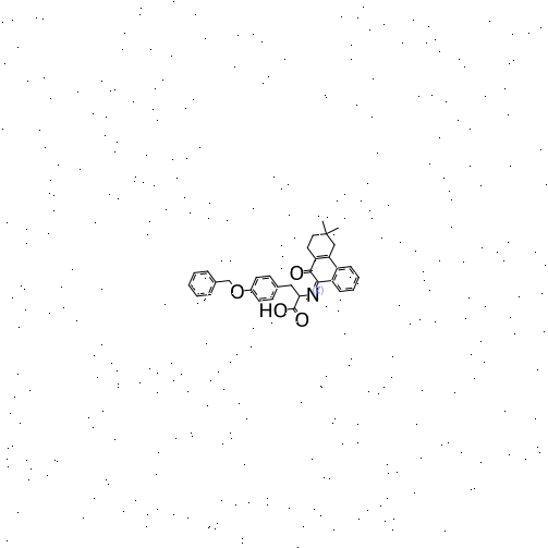 CC1(C)CCC2=C(C1)c1ccccc1/C(=N/C(Cc1ccc(OCc3ccccc3)cc1)C(=O)O)C2=O